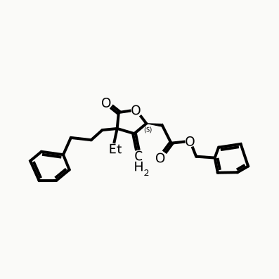 C=C1[C@H](CC(=O)OCc2ccccc2)OC(=O)C1(CC)CCCc1ccccc1